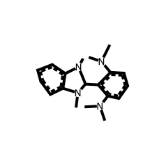 CN(C)c1cccc(N(C)C)c1C1N(C)c2ccccc2N1C